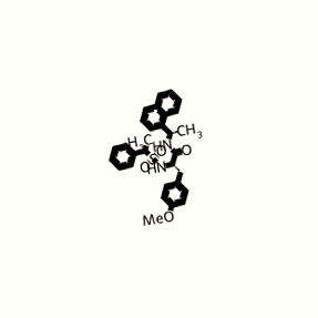 COc1ccc(C[C@H](NS(=O)(=O)C(C)c2ccccc2)C(=O)N[C@@H](C)c2cccc3ccccc23)cc1